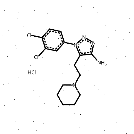 Cl.Nc1nnn(-c2ccc(Cl)c(Cl)c2)c1CCN1CCCCC1